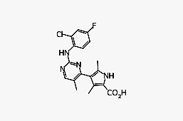 Cc1cnc(Nc2ccc(F)cc2Cl)nc1-c1c(C)[nH]c(C(=O)O)c1C